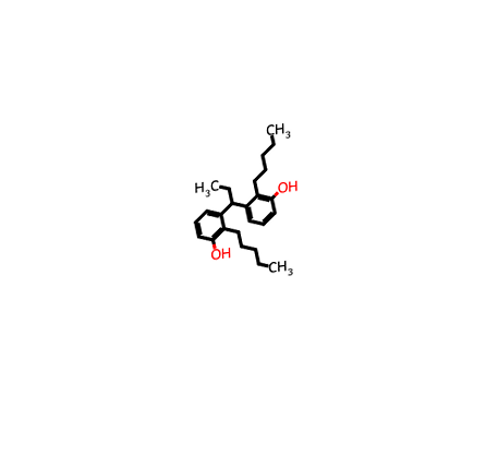 CCCCCc1c(O)cccc1C(CC)c1cccc(O)c1CCCCC